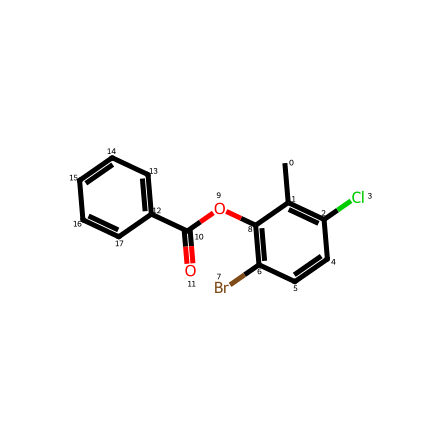 Cc1c(Cl)ccc(Br)c1OC(=O)c1ccccc1